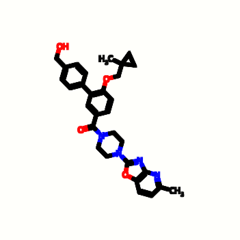 Cc1ccc2oc(N3CCN(C(=O)c4ccc(OCC5(C)CC5)c(-c5ccc(CO)cc5)c4)CC3)nc2n1